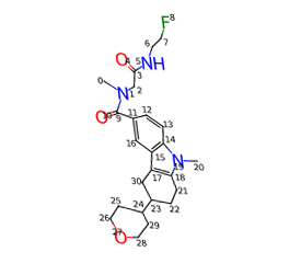 CN(CC(=O)NCCF)C(=O)c1ccc2c(c1)c1c(n2C)CCC(C2CCOCC2)C1